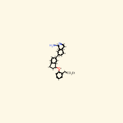 CCOC(=O)Cc1ccccc1OC1CCc2ccc(-c3ccc4ccnc(N)c4c3)cc21